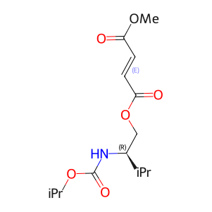 COC(=O)/C=C/C(=O)OC[C@H](NC(=O)OC(C)C)C(C)C